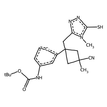 Cn1c(S)nnc1CC1(c2cccc(NC(=O)OC(C)(C)C)c2)CC(C)(C#N)C1